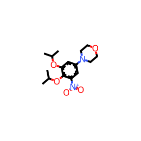 CC(C)Oc1cc(N2CCOCC2)cc([N+](=O)[O-])c1OC(C)C